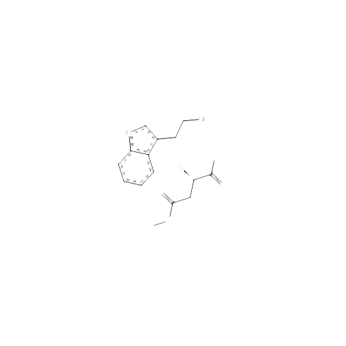 NCCc1c[nH]c2ccccc12.[2H]OC(=O)C[C@@H](N)C(=O)O